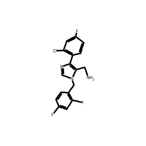 NCc1c(-c2ccc(F)cc2Cl)ncn1Cc1ccc(F)cc1F